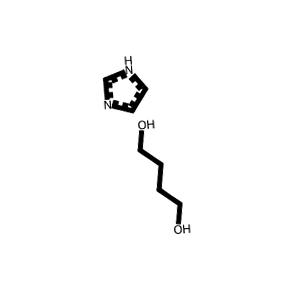 OCCCCO.c1c[nH]cn1